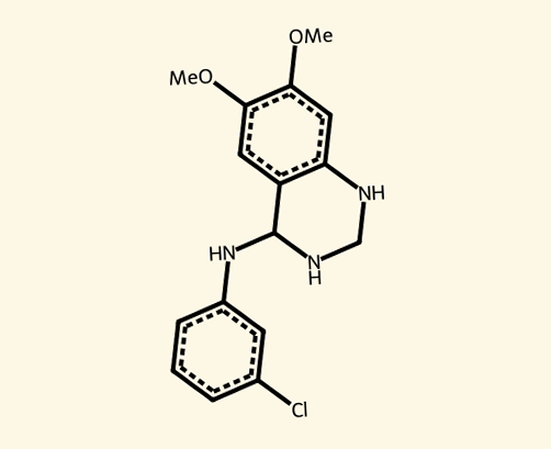 COc1cc2c(cc1OC)C(Nc1cccc(Cl)c1)NCN2